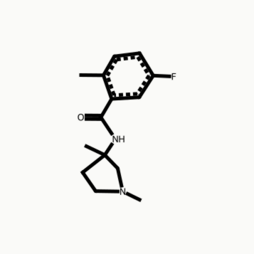 Cc1ccc(F)cc1C(=O)NC1(C)CCN(C)C1